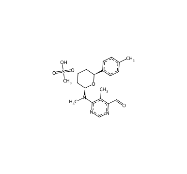 CS(=O)(=O)O.Cc1ccc([C@@H]2CCC[C@H](N(C)c3ncnc(C=O)c3C)O2)cc1